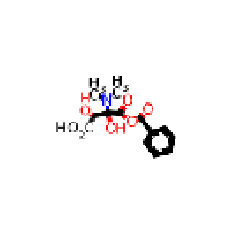 CN(C)C(O)(C(=O)OC(=O)c1ccccc1)C(O)C(=O)O